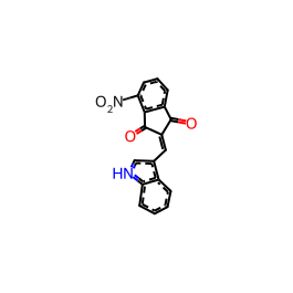 O=C1C(=Cc2c[nH]c3ccccc23)C(=O)c2c1cccc2[N+](=O)[O-]